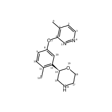 Cc1ccnnc1Oc1ccc(F)c([C@@H]2CNCCO2)c1